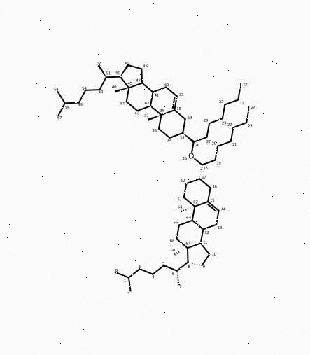 CC(C)CCC[C@@H](C)[C@H]1CCC2C3CC=C4C[C@@H](C(CCCCCI)OC(CCCCCI)[C@H]5CC[C@@]6(C)C(=CCC7C6CC[C@@]6(C)C7CC[C@@H]6[C@H](C)CCCC(C)C)C5)CC[C@]4(C)C3CC[C@@]21C